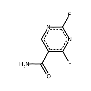 NC(=O)c1cnc(F)nc1F